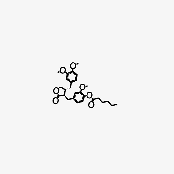 CCCCCC(=O)Oc1ccc(C[C@H]2C(=O)OC[C@@H]2Cc2ccc(OC)c(OC)c2)cc1OC